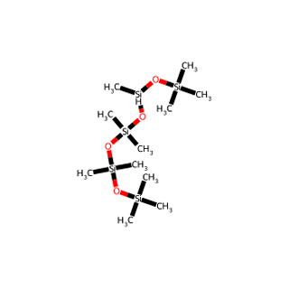 C[SiH](O[Si](C)(C)C)O[Si](C)(C)O[Si](C)(C)O[Si](C)(C)C